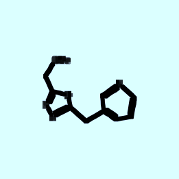 COCC1=NN=C(Cc2cccnc2)[N]1